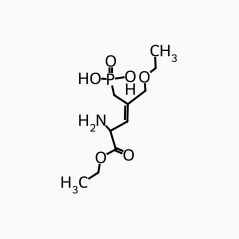 CCOCC(=CC(N)C(=O)OCC)CP(=O)(O)O